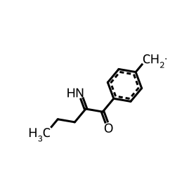 [CH2]c1ccc(C(=O)C(=N)CCC)cc1